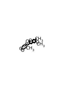 COc1cc2cc(C=NN3CCS(=O)(=O)CC3C)c(=O)oc2cc1C